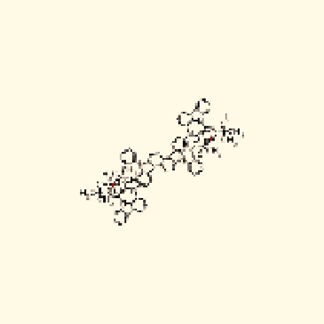 CC(C)(C)c1cc(-n2c3ccccc3c3cccc(N(c4ccccc4)c4ccc5c6c7ccc8c(c7ccc6n(-c6ccccc6)c5c4)c4ccc(N(c5ccccc5)c5cccc6c7ccccc7n(-c7cc(C(C)(C)C)cc(C(C)(C)C)c7)c56)cc4n8-c4ccccc4)c32)cc(C(C)(C)C)c1